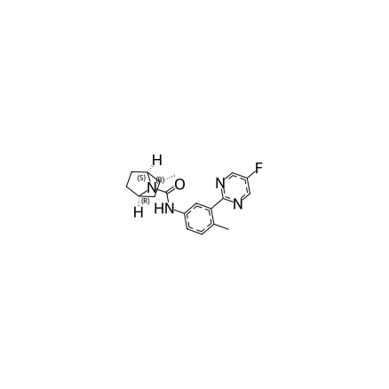 Cc1ccc(NC(=O)N2[C@@H]3CC[C@H]2[C@H](C)C3)cc1-c1ncc(F)cn1